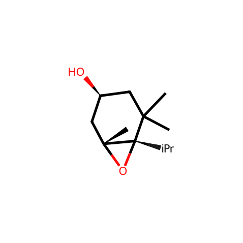 CC(C)[C@@]12O[C@]1(C)C[C@@H](O)CC2(C)C